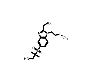 CC(C)(C)Cc1nc2cc(S(=O)(=O)C(C)(C)CO)ccc2n1CCOC(F)(F)F